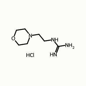 Cl.N=C(N)NCCN1CCOCC1